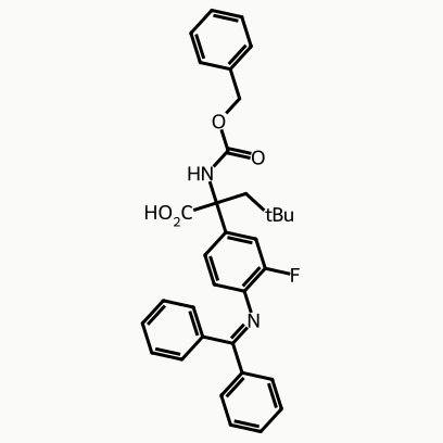 CC(C)(C)CC(NC(=O)OCc1ccccc1)(C(=O)O)c1ccc(N=C(c2ccccc2)c2ccccc2)c(F)c1